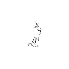 C[C@H](CCCC1CCN(C(=O)OC(C)(C)C)CC1)Nc1ccc(C(=O)N(C)C)c(Cl)c1